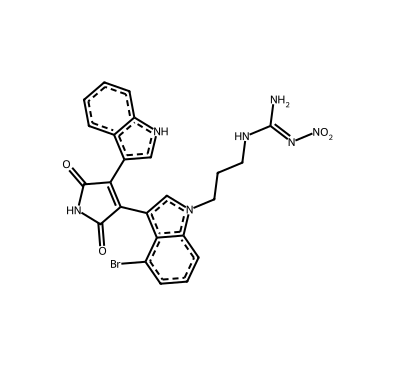 NC(=N[N+](=O)[O-])NCCCn1cc(C2=C(c3c[nH]c4ccccc34)C(=O)NC2=O)c2c(Br)cccc21